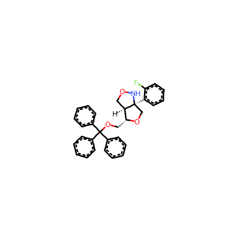 Fc1ccccc1[C@]12CO[C@H](COC(c3ccccc3)(c3ccccc3)c3ccccc3)[C@H]1CON2